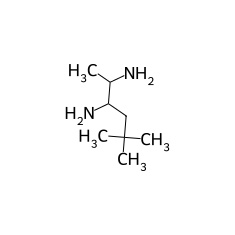 CC(N)C(N)CC(C)(C)C